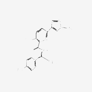 Cc1ccc(-c2cnn(C)c2)nc1C(=O)NC(C)c1ccc(C(F)(F)F)cc1